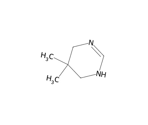 CC1(C)CN=CNC1